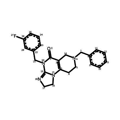 O=C1C2=C(CCN(Cc3ccccc3)C2)N2CCN=C2N1Cc1cccc(F)c1